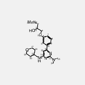 CNCC(O)COc1cccc(-c2cc(NC3CCOCC3)nc(N(C)C)n2)c1